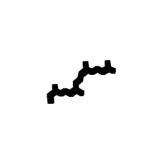 C=CC(C)CCC=C(C)CCC=C(C)CCC=C(C)C